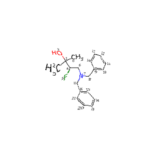 CC(C)(O)[C@H](F)CN(Cc1ccccc1)Cc1ccccc1